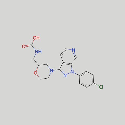 O=C(O)NCC1CN(c2nn(-c3ccc(Cl)cc3)c3cnccc23)CCO1